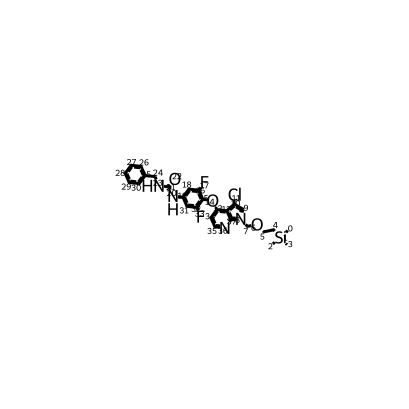 C[Si](C)(C)CCOCn1cc(Cl)c2c(Oc3c(F)cc(NC(=O)NCc4ccccc4)cc3F)ccnc21